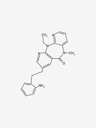 CCN1c2ncc(CCc3ccccc3N)cc2C(=O)N(C)c2cccnc21